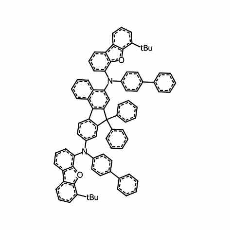 CC(C)(C)c1cccc2c1oc1c(N(c3ccc(-c4ccccc4)cc3)c3ccc4c(c3)C(c3ccccc3)(c3ccccc3)c3cc(N(c5ccc(-c6ccccc6)cc5)c5cccc6c5oc5c(C(C)(C)C)cccc56)c5ccccc5c3-4)cccc12